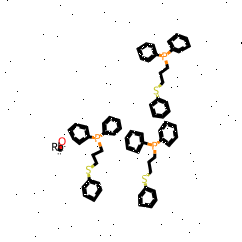 [C]=O.[Rh].c1ccc(SCCCP(c2ccccc2)c2ccccc2)cc1.c1ccc(SCCCP(c2ccccc2)c2ccccc2)cc1.c1ccc(SCCCP(c2ccccc2)c2ccccc2)cc1